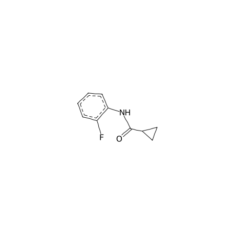 O=C(Nc1ccccc1F)C1CC1